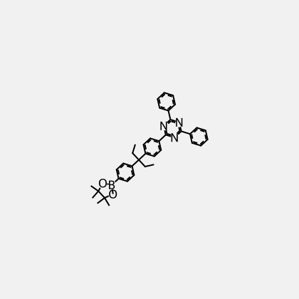 CCC(CC)(c1ccc(B2OC(C)(C)C(C)(C)O2)cc1)c1ccc(-c2nc(-c3ccccc3)nc(-c3ccccc3)n2)cc1